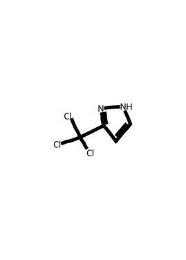 ClC(Cl)(Cl)c1cc[nH]n1